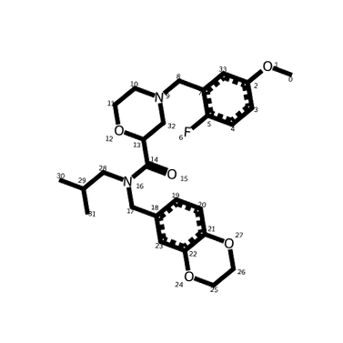 COc1ccc(F)c(CN2CCOC(C(=O)N(Cc3ccc4c(c3)OCCO4)CC(C)C)C2)c1